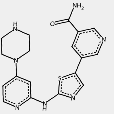 NC(=O)c1cncc(-c2cnc(Nc3cc(N4CCNCC4)ccn3)s2)c1